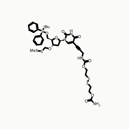 CSSCO[C@H]1C[C@H](n2cc(C#CCNC(=O)OCCSSCCOC(N)=O)c(=O)[nH]c2=O)O[C@@H]1CO[Si](c1ccccc1)(c1ccccc1)C(C)(C)C